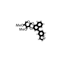 COC1COC(Oc2ccc(-c3ccc4c(c3)CCO4)c3ccccc23)C(O)C1OC